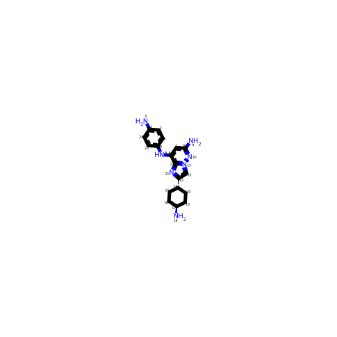 Nc1ccc(Nc2cc(N)nn3cc([C@H]4CC[C@H](N)CC4)nc23)cc1